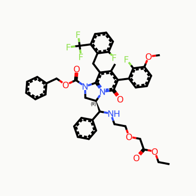 CCOC(=O)COCCNC(c1ccccc1)[C@H]1CN(C(=O)OCc2ccccc2)c2c(Cc3c(F)cccc3C(F)(F)F)c(C)c(-c3cccc(OC)c3F)c(=O)n21